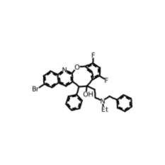 CCN(CCC1(O)c2cc(c(F)cc2F)Oc2nc3ccc(Br)cc3cc2C1c1ccccc1)Cc1ccccc1